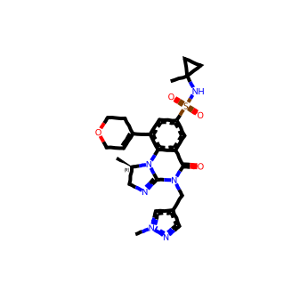 C[C@@H]1CN=C2N(Cc3cnn(C)c3)C(=O)c3cc(S(=O)(=O)NC4(C)CC4)cc(C4=CCOCC4)c3N21